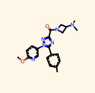 COc1ccc(-n2nc(C(=O)N3CC(N(C)C)C3)nc2-c2ccc(C)cc2)cn1